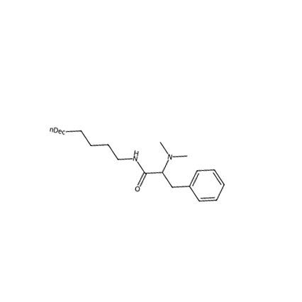 CCCCCCCCCCCCCCNC(=O)C(Cc1ccccc1)N(C)C